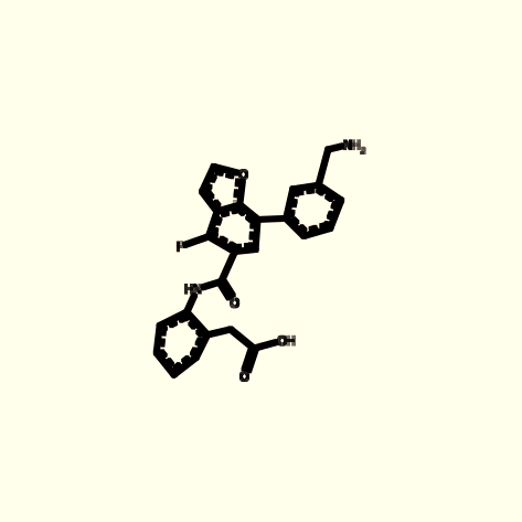 NCc1cccc(-c2cc(C(=O)Nc3ccccc3CC(=O)O)c(F)c3ccoc23)c1